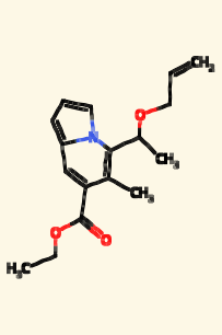 C=CCOC(C)c1c(C)c(C(=O)OCC)cc2cccn12